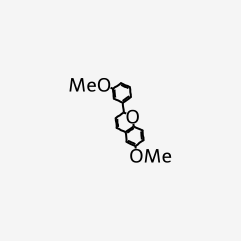 COc1cccc(C2C=Cc3cc(OC)ccc3O2)c1